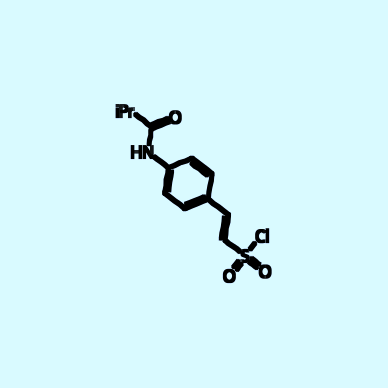 CC(C)C(=O)Nc1ccc(C=CS(=O)(=O)Cl)cc1